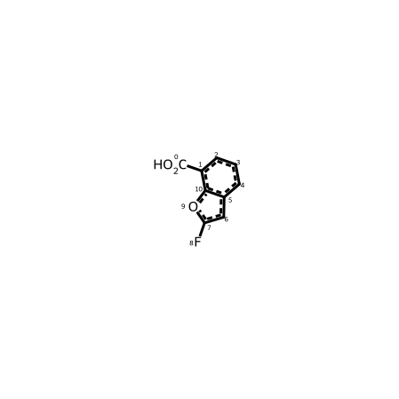 O=C(O)c1cccc2cc(F)oc12